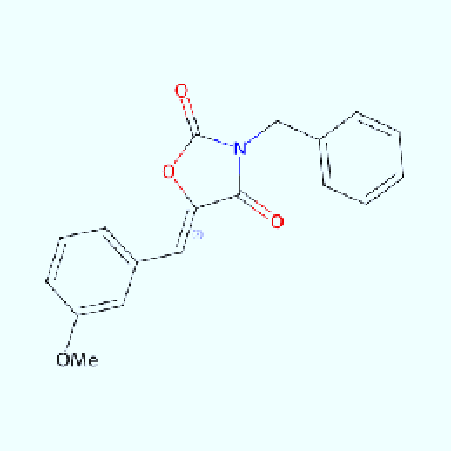 COc1cccc(/C=C2\OC(=O)N(Cc3ccccc3)C2=O)c1